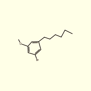 CCCCCCc1cc(Br)cc(OC)c1